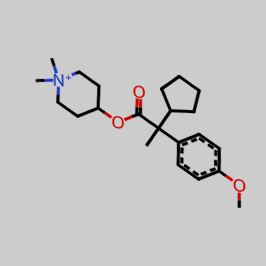 COc1ccc(C(C)(C(=O)OC2CC[N+](C)(C)CC2)C2CCCC2)cc1